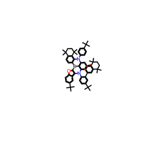 Cc1cc2c3c(c1)N(c1ccc(C(C)(C)C)cc1-c1ccc4c(c1)C(C)(C)CCC4(C)C)c1c(oc4ccc(C(C)(C)C)cc14)B3c1ccc3c(c1N2c1ccc(C(C)(C)C)cc1)C(C)(C)CCC3(C)C